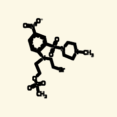 CN1CCN(S(=O)(=O)c2cc([N+](=O)[O-])ccc2N(CCBr)CCOS(C)(=O)=O)CC1